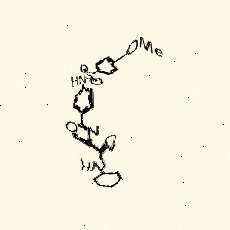 COc1ccc(S(=O)(=O)Nc2ccc(-c3nc(C(=O)NC4CCCCC4)co3)cc2)cc1